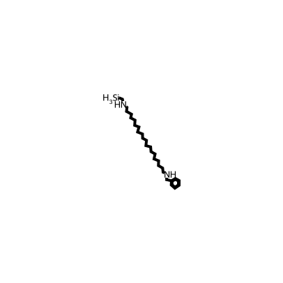 [SiH3]CNCCCCCCCCCCCCCCCCCCCCNCc1ccccc1